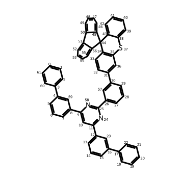 c1ccc(-c2cccc(-c3cc(-c4cccc(-c5ccccc5)c4)nc(-c4cccc(-c5ccc6c(c5)Sc5ccccc5C65c6ccccc6-c6ccccc65)c4)n3)c2)cc1